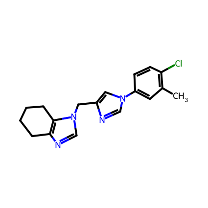 Cc1cc(-n2cnc(Cn3cnc4c3CCCC4)c2)ccc1Cl